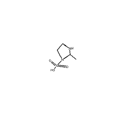 CC1NCCN1S(=O)(=O)O